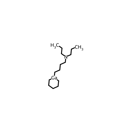 CCCN(CCC)CCC[CH2][Ga]1[CH2]CCC[CH2]1